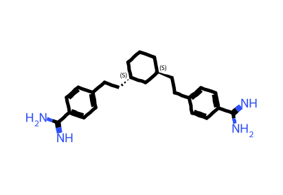 N=C(N)c1ccc(CC[C@@H]2CCC[C@@H](CCc3ccc(C(=N)N)cc3)C2)cc1